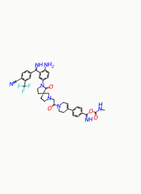 CNC(=O)OC(=N)c1ccc(C2=CCN(C(=O)CN3CC[C@]4(CCN(c5ccc(N)c(C(=N)c6ccc(C#N)c(C(F)(F)F)c6)c5)C4=O)C3)CC2)cc1